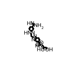 Cn1c(Cc2nc3cc(C(=N)N)ccc3[nH]2)nc2cc(S(=O)(=O)NCC(O)CO)ccc21